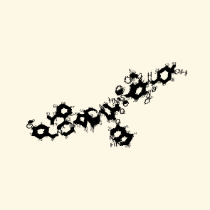 COc1ccc(CN2CCN(C3CC4(CCN(c5cc(Oc6cnc7[nH]ccc7c6)c(C(=O)NS(=O)(=O)c6cc([N+](=O)[O-])c(NCC7CCC(C)(O)CC7)c7c6OCO7)cn5)CC4)C3)[C@H](c3ccccc3C(C)C)C2)cc1